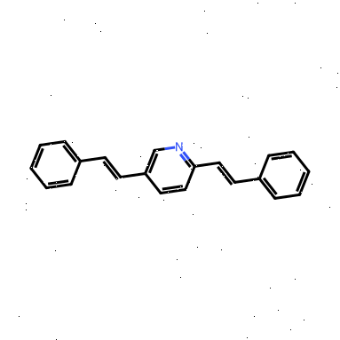 C(=Cc1ccc(C=Cc2ccccc2)nc1)c1ccccc1